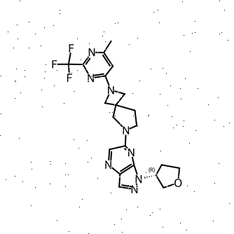 Cc1cc(N2CC3(CCN(c4cnc5cnn([C@@H]6CCOC6)c5n4)C3)C2)nc(C(F)(F)F)n1